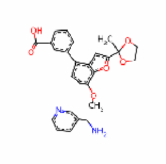 COc1ccc(-c2cccc(C(=O)O)c2)c2cc(C3(C)OCCO3)oc12.NCc1cccnc1